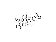 COc1ccc(F)cc1C(C)(CNc1ccc2c(c1)COC2=O)CC(C)(O)Cc1ccc(F)c(F)c1